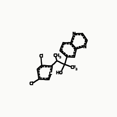 CC(c1ccc(Cl)cc1Cl)C(O)(c1ccc2nccnc2c1)C(F)(F)F